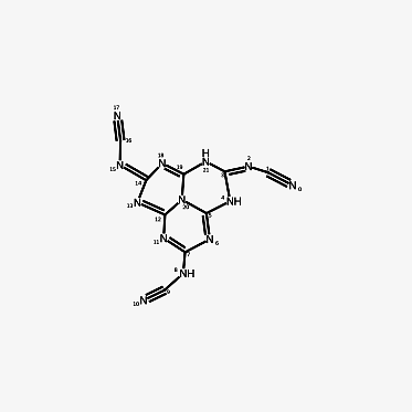 N#CN=C1Nc2nc(NC#N)nc3nc(=NC#N)nc(n23)N1